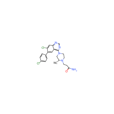 N#CC1CN(c2ncnc3cc(Cl)c(-c4ccc(Cl)cc4)cc23)CCN1CCC(N)=O